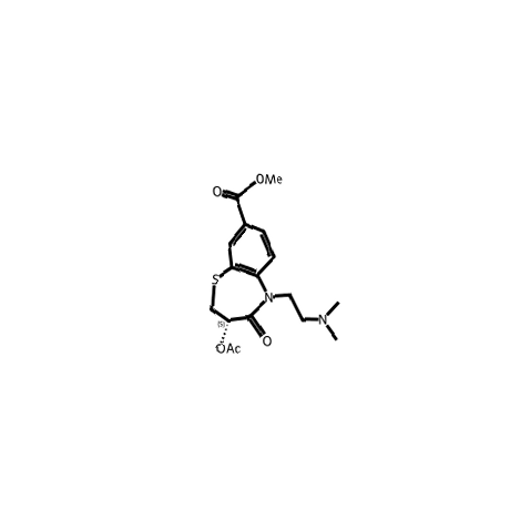 COC(=O)c1ccc2c(c1)SC[C@@H](OC(C)=O)C(=O)N2CCN(C)C